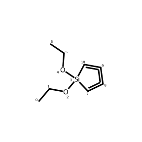 CCO[Si]1(OCC)C=C=C=C1